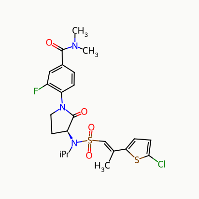 C/C(=C\S(=O)(=O)N(C(C)C)[C@H]1CCN(c2ccc(C(=O)N(C)C)cc2F)C1=O)c1ccc(Cl)s1